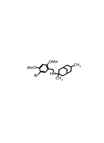 COc1cc(OC)c(CNC2(C)CC3CC(C)CC(C3)C2)cc1Br